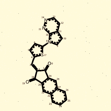 O=C1C(=Cc2ccc(-n3ccc4ccnnc43)s2)C(=O)c2cc3ccccc3cc21